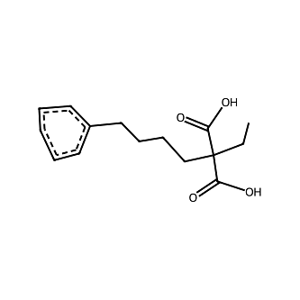 CCC(CCCCc1ccccc1)(C(=O)O)C(=O)O